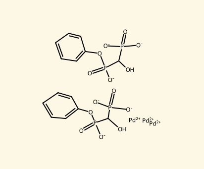 O=P([O-])([O-])C(O)P(=O)([O-])Oc1ccccc1.O=P([O-])([O-])C(O)P(=O)([O-])Oc1ccccc1.[Pd+2].[Pd+2].[Pd+2]